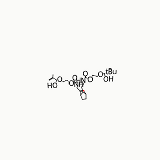 C=C(C)C(O)OCCOC(=O)NCC1CC2CCC1C2CCNC(=O)OCCOC(O)C(C)(C)C